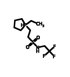 CC[PH]1(CCS(=O)(=O)NCC(F)(F)F)CCCC1